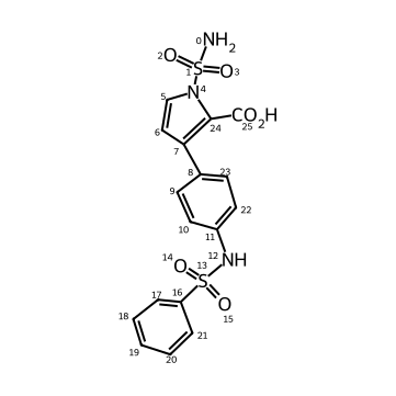 NS(=O)(=O)n1ccc(-c2ccc(NS(=O)(=O)c3ccccc3)cc2)c1C(=O)O